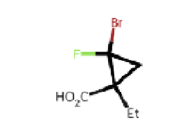 CCC1(C(=O)O)CC1(F)Br